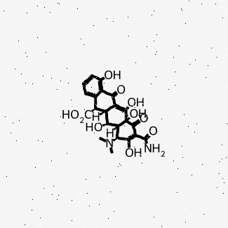 CN(C)[C@@H]1C(O)=C(C(N)=O)C(=O)[C@@]2(O)C(O)=C3C(=O)c4c(O)cccc4[C@H](C(=O)O)[C@H]3[C@H](O)[C@@H]12